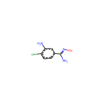 NC(=NO)c1ccc(Cl)c(N)c1